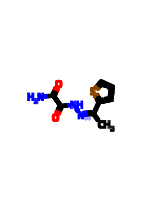 C/C(=N/NC(=O)C(N)=O)c1cccs1